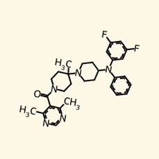 Cc1ncnc(C)c1C(=O)N1CCC(C)(N2CCC(N(c3ccccc3)c3cc(F)cc(F)c3)CC2)CC1